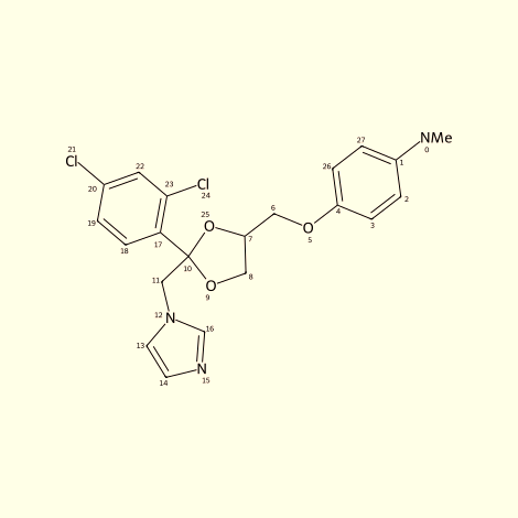 CNc1ccc(OCC2COC(Cn3ccnc3)(c3ccc(Cl)cc3Cl)O2)cc1